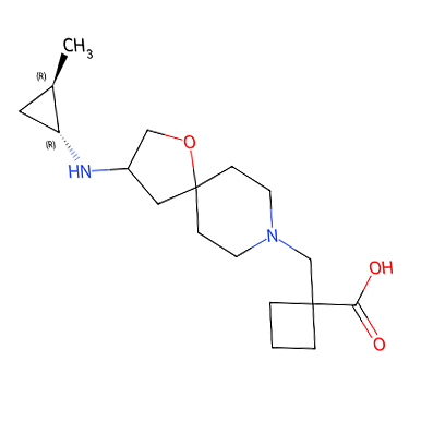 C[C@@H]1C[C@H]1NC1COC2(CCN(CC3(C(=O)O)CCC3)CC2)C1